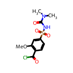 COc1cc(S(=O)(=O)NC(=O)N(C)C)ccc1C(=O)Cl